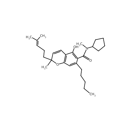 CCCCCc1cc2c(c(O)c1C(=O)N(C)C1CCCC1)C=CC(C)(CCC=C(C)C)O2